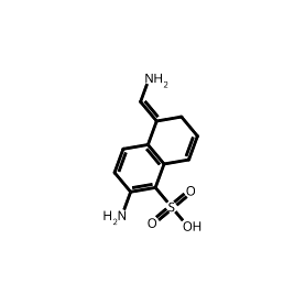 NC=C1CC=Cc2c1ccc(N)c2S(=O)(=O)O